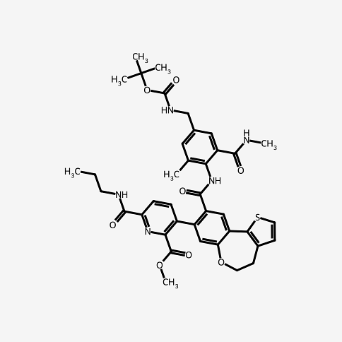 CCCNC(=O)c1ccc(-c2cc3c(cc2C(=O)Nc2c(C)cc(CNC(=O)OC(C)(C)C)cc2C(=O)NC)-c2sccc2CCO3)c(C(=O)OC)n1